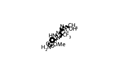 COc1c(S(N)(=O)=O)ccc(Nc2ncc(C(F)(F)F)c(-c3cnn(CC(C)(C)O)c3)n2)c1F